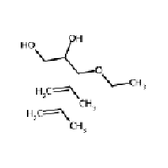 C=CC.C=CC.CCOCC(O)CO